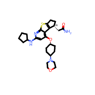 NC(=O)C[C@H]1CCc2sc3nc(NC4CCCC4)cc(O[C@H]4CC[C@H](N5CCOCC5)CC4)c3c21